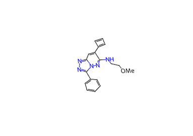 COCCNc1nn2c(-c3ccccc3)nnc2cc1C1=CC=C1